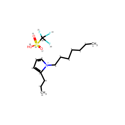 CCCCCCCn1cccc1CCC.O=S(=O)(O)C(F)(F)F